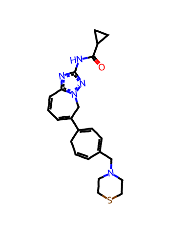 O=C(Nc1nc2n(n1)CC(C1=CC=C(CN3CCSCC3)C=CC1)=CC=C2)C1CC1